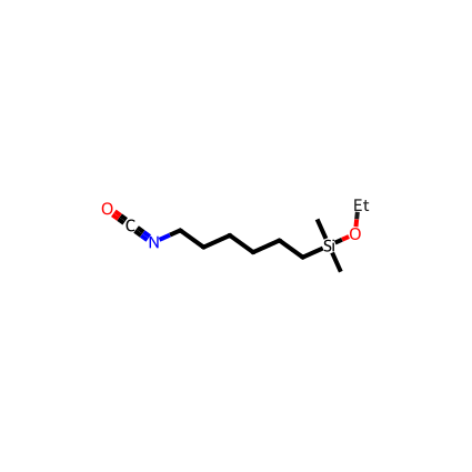 CCO[Si](C)(C)CCCCCCN=C=O